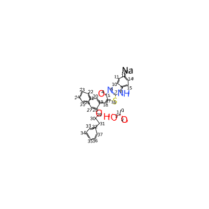 CC(=O)O.O=C1N=C(Nc2cc[c]([Na])cc2)SC1=Cc1cc2ccccc2cc1OCCc1ccccc1